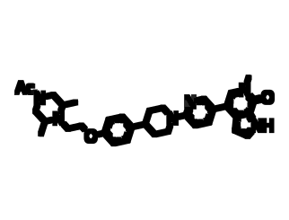 CC(=O)N1CC(C)N(CCOc2ccc(C3CCN(c4ccc(-c5cn(C)c(=O)c6[nH]ccc56)cn4)CC3)cc2)C(C)C1